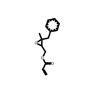 C=CC(=O)OCC1OC1(C)Cc1ccccc1